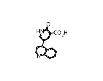 O=C(O)c1cc(-c2ccnc3ccccc23)c[nH]c1=O